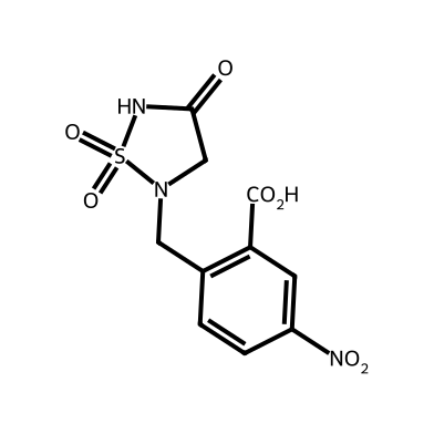 O=C1CN(Cc2ccc([N+](=O)[O-])cc2C(=O)O)S(=O)(=O)N1